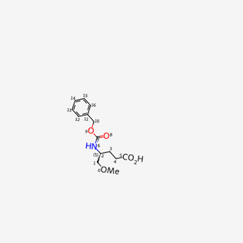 COC[C@H](CCC(=O)O)NC(=O)OCc1ccccc1